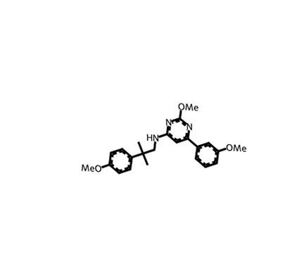 COc1ccc(C(C)(C)CNc2cc(-c3cccc(OC)c3)nc(OC)n2)cc1